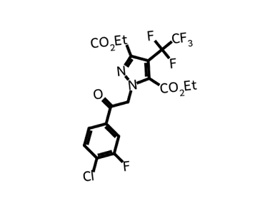 CCOC(=O)c1nn(CC(=O)c2ccc(Cl)c(F)c2)c(C(=O)OCC)c1C(F)(F)C(F)(F)F